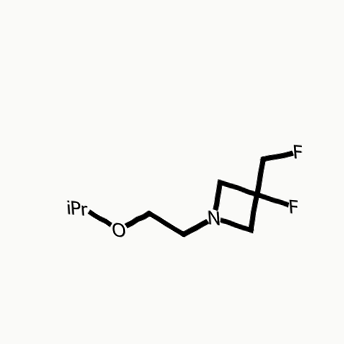 CC(C)OCCN1CC(F)(CF)C1